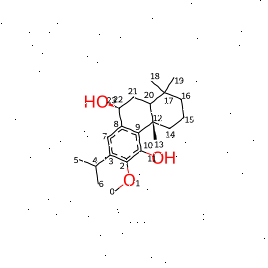 COc1c(C(C)C)cc2c(c1O)[C@@]1(C)CCCC(C)(C)C1C[C@@H]2O